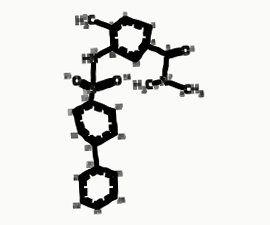 Cc1ccc(C(=O)N(C)C)cc1NS(=O)(=O)c1ccc(-c2ccccc2)cc1